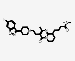 CNC(=O)CCCC1CCCn2c1nc(C)c(CCN1CCC(c3noc4cc(F)ccc34)CC1)c2=O